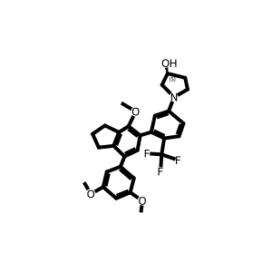 COc1cc(OC)cc(-c2cc(-c3cc(N4CC[C@H](O)C4)ccc3C(F)(F)F)c(OC)c3c2CCC3)c1